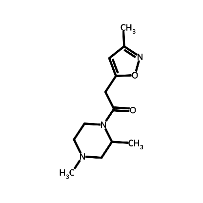 Cc1cc(CC(=O)N2CCN(C)CC2C)on1